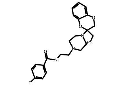 O=C(NCCN1CCN(C2(CO)COc3ccccc3O2)CC1)c1ccc(F)cc1